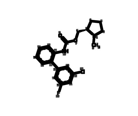 CN1CCC[C@H]1COC(=O)Nc1ccccc1-c1cc(F)cc(Cl)c1